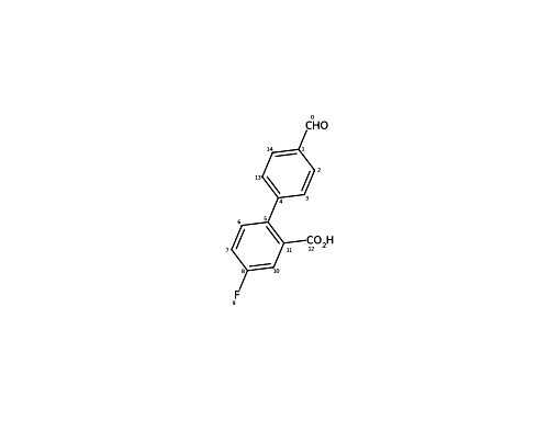 O=Cc1ccc(-c2ccc(F)cc2C(=O)O)cc1